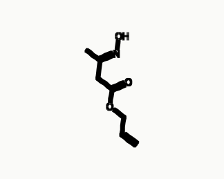 C=CCOC(=O)CC(C)=NO